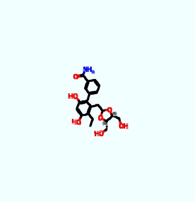 CCc1c(O)cc(O)c(-c2cccc(C(N)=O)c2)c1CC1O[C@@H](CO)[C@H](CO)O1